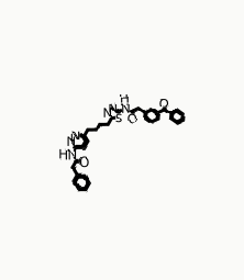 O=C(Cc1ccccc1)Nc1ccc(CCCCc2nnc(NC(=O)Cc3cccc(C(=O)c4ccccc4)c3)s2)nn1